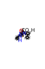 O=C(O)c1cn(Cc2ccccc2-c2ccccc2)c2sc(NCc3ccccc3)nc2c1=O